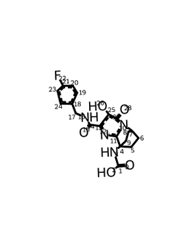 O=C(O)NC12CCC(CC1)n1c2nc(C(=O)NCc2ccc(F)cc2)c(O)c1=O